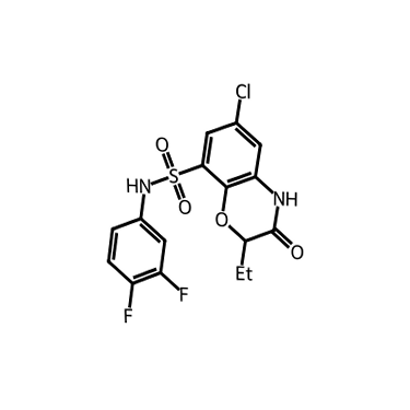 CCC1Oc2c(cc(Cl)cc2S(=O)(=O)Nc2ccc(F)c(F)c2)NC1=O